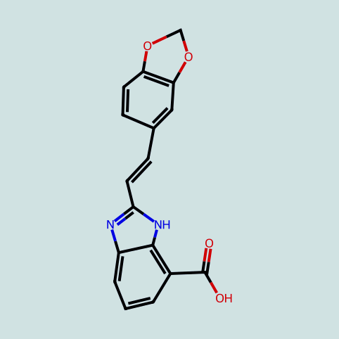 O=C(O)c1cccc2nc(C=Cc3ccc4c(c3)OCO4)[nH]c12